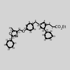 CCOC(=O)CCc1cn(Cc2ccc(OCc3nc(-c4ccccc4)oc3C)cc2)cc1-c1ccccc1